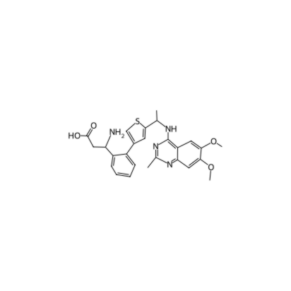 COc1cc2nc(C)nc(NC(C)c3cc(-c4ccccc4C(N)CC(=O)O)cs3)c2cc1OC